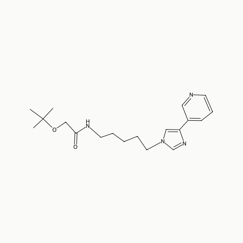 CC(C)(C)OCC(=O)NCCCCCn1cnc(-c2cccnc2)c1